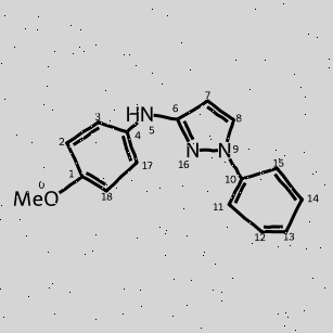 COc1ccc(Nc2ccn(-c3ccccc3)n2)cc1